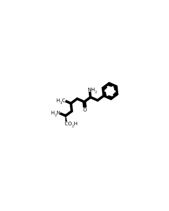 CC(CC(=O)C(N)Cc1ccccc1)C[C@H](N)C(=O)O